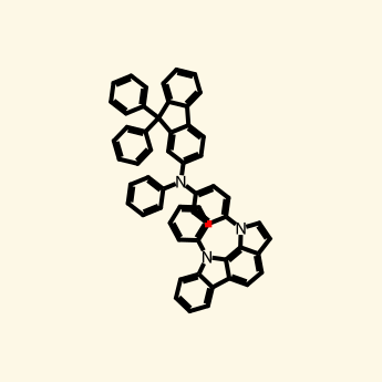 c1ccc(N(c2ccc(-n3ccc4ccc5c6ccccc6n(-c6ccccc6)c5c43)cc2)c2ccc3c(c2)C(c2ccccc2)(c2ccccc2)c2ccccc2-3)cc1